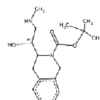 CNC[C@@H](O)C1Cc2ccccc2CN1C(=O)OC(C)(C)C